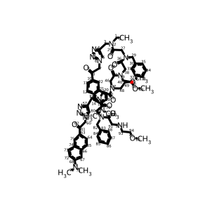 CCN(Cc1cn(CC(=O)c2ccc3cc(N(C)C)ccc3c2)nn1)C(=O)CN(Cc1ccccc1)C(=O)CN(CCOC)C(=O)CN(CCOC)C(=O)CN(Cc1cn(CC(=O)c2ccc3cc(N(C)C)ccc3c2)nn1)C(=O)CN(Cc1ccccc1)C(=O)CNCCOC